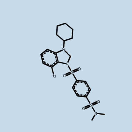 CN(C)S(=O)(=O)c1ccc(S(=O)(=O)N2CN(C3CCCCC3)c3cccc(Cl)c32)cc1